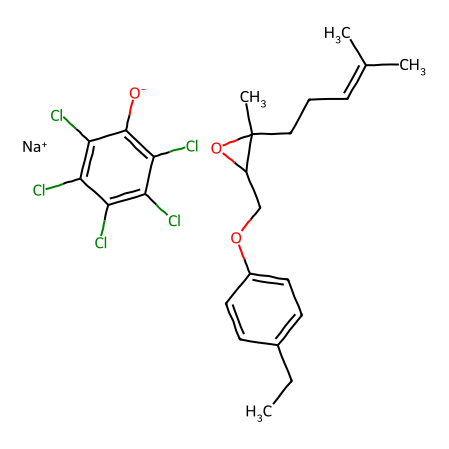 CCc1ccc(OCC2OC2(C)CCC=C(C)C)cc1.[Na+].[O-]c1c(Cl)c(Cl)c(Cl)c(Cl)c1Cl